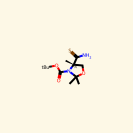 CC(C)(C)OC(=O)N1C(C)(C)OC[C@@]1(C)C(N)=S